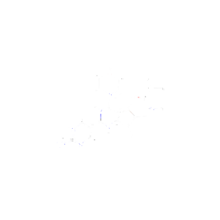 Cc1c(CN(C)C(=O)C(C)C)sc2c(N3CCOCC3)nc(-c3cnc(N)nc3)nc12